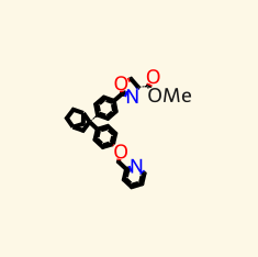 COC(=O)[C@H]1COC(c2ccc([C@]3(c4ccc(OCc5ccccn5)cc4)CC4CCC3C4)cc2)=N1